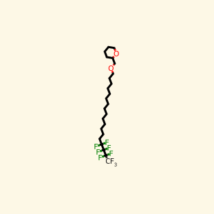 FC(F)(F)C(F)(F)C(F)(F)C(F)(F)CCCCCCCCCCCCCCOCC1CCCCO1